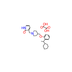 CC(c1ccccc1OCC1CCN(Cc2ccc[nH]c2=O)CC1)C1CCCCC1.O=C(O)C(=O)O